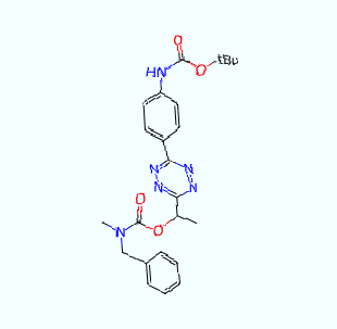 CC(OC(=O)N(C)Cc1ccccc1)c1nnc(-c2ccc(NC(=O)OC(C)(C)C)cc2)nn1